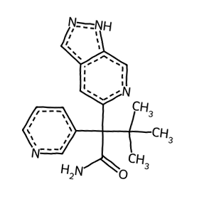 CC(C)(C)C(C(N)=O)(c1cccnc1)c1cc2cn[nH]c2cn1